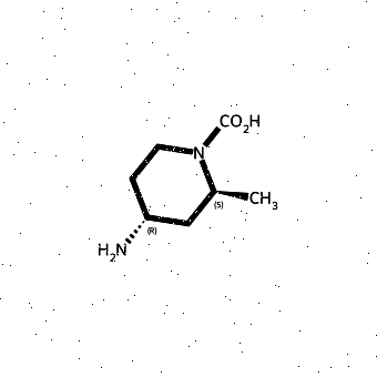 C[C@H]1C[C@H](N)CCN1C(=O)O